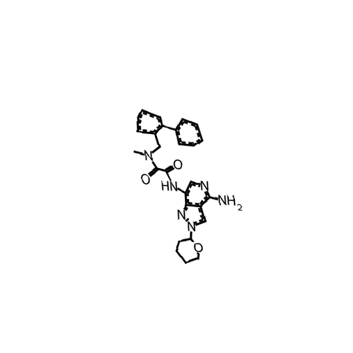 CN(Cc1ccccc1-c1ccccc1)C(=O)C(=O)Nc1cnc(N)c2cn(C3CCCCO3)nc12